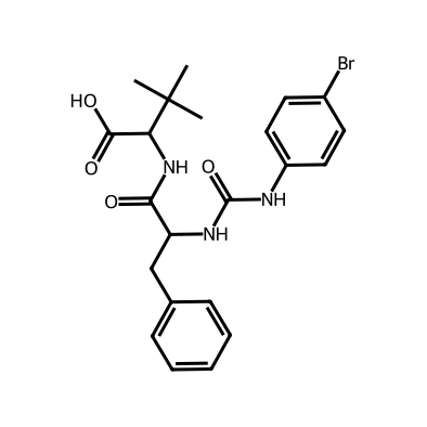 CC(C)(C)C(NC(=O)C(Cc1ccccc1)NC(=O)Nc1ccc(Br)cc1)C(=O)O